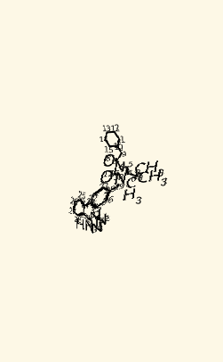 CC(C)(C)c1cn(C(=O)CC2CCCCC2)c(=O)n1Cc1ccc(-c2ccccc2-c2nnn[nH]2)cc1